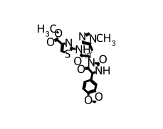 COC(=O)c1csc(NC(=O)[C@H](Cc2cncn2C)N2C(=O)NC(c3ccc4c(c3)OCO4)C2=O)n1